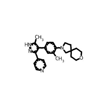 Cc1cc(-c2c(-c3ccncc3)n[nH]c2C)ccc1N1CCC2(CCOCC2)C1